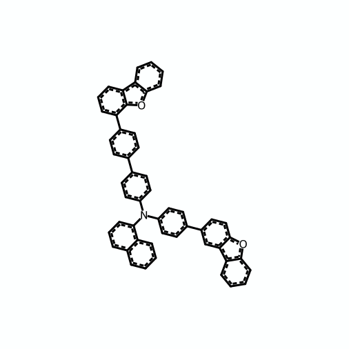 c1ccc2c(N(c3ccc(-c4ccc(-c5cccc6c5oc5ccccc56)cc4)cc3)c3ccc(-c4ccc5oc6ccccc6c5c4)cc3)cccc2c1